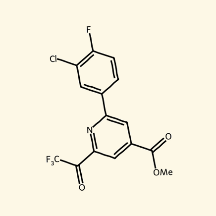 COC(=O)c1cc(C(=O)C(F)(F)F)nc(-c2ccc(F)c(Cl)c2)c1